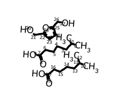 CC(C)CCCCC(=O)O.CC(C)CCCCC(=O)O.OCc1ccc(CO)o1